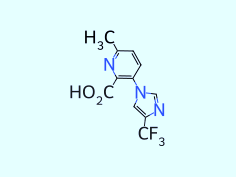 Cc1ccc(-n2cnc(C(F)(F)F)c2)c(C(=O)O)n1